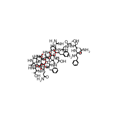 C[C@H](NC(=O)[C@H](C)NC(=O)[C@@H](NC(=O)[C@H](CCC(N)=O)NC(=O)CNC(=O)[C@H](CO)NC(=O)[C@@H]1CCCN1C(=O)[C@H](Cc1ccccc1)NC(=O)CNC(=O)[C@H](CO)NC(=O)[C@H](CC(N)=O)NC(=O)[C@@H](N)Cc1ccccc1)[C@@H](C)O)C(=O)N[C@@H](C)C(=O)N[C@H](C(=O)N[C@@H](Cc1ccccc1)C(=O)N[C@@H](CC(=O)O)C(=O)N[C@@H](CCCNC(=N)N)C(=O)O)[C@@H](C)O